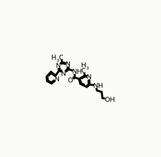 Cc1nc(NC(=O)c2ccc(NCCCO)nc2C)nc(-c2ccccn2)n1